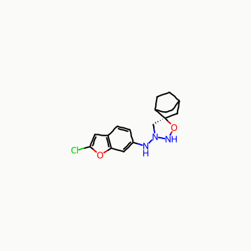 Clc1cc2ccc(NN3C[C@]4(CC5CCC4CC5)ON3)cc2o1